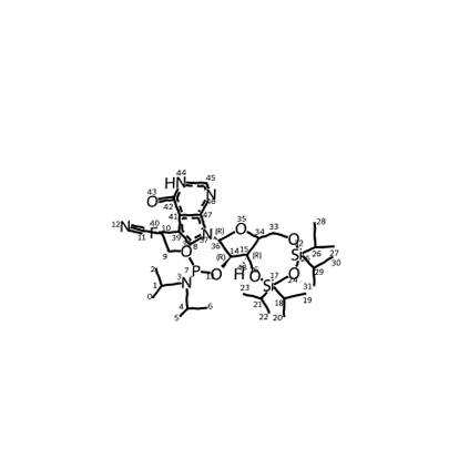 CC(C)N(C(C)C)P(OCCC#N)O[C@@H]1[C@@H]2O[Si](C(C)C)(C(C)C)O[Si](C(C)C)(C(C)C)OCC2O[C@H]1n1cc(F)c2c(=O)[nH]cnc21